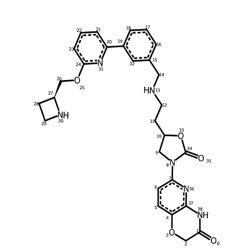 O=C1COc2ccc(N3CC(CCNCc4cccc(-c5cccc(OC[C@@H]6CCN6)n5)c4)OC3=O)nc2N1